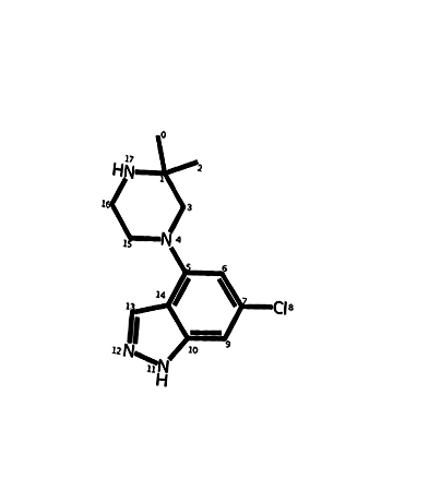 CC1(C)CN(c2cc(Cl)cc3[nH]ncc23)CCN1